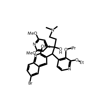 CCOc1nccc(C(c2cc3cc(Br)ccc3nc2OC)C(O)(CCN(C)C)c2cc(OC)nc(OC)c2)c1OC(C)C